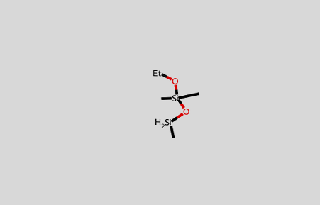 CCO[Si](C)(C)O[SiH2]C